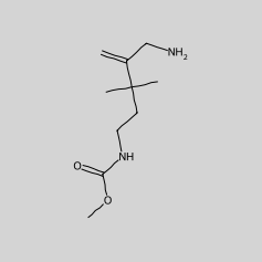 C=C(CN)C(C)(C)CCNC(=O)OC